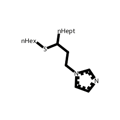 CCCCCCCC(CCn1ccnc1)SCCCCCC